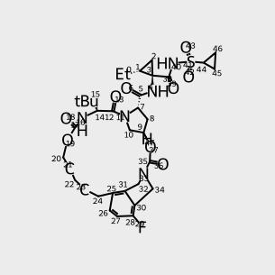 CC[C@@H]1C[C@]1(NC(=O)[C@@H]1C[C@@H]2CN1C(=O)[C@H](C(C)(C)C)NC(=O)OCCCCCc1ccc(F)c3c1CN(C3)C(=O)O2)C(=O)NS(=O)(=O)C1CC1